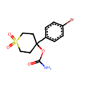 NC(=O)OC1(c2ccc(Br)cc2)CCS(=O)(=O)CC1